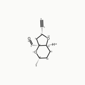 C#C[C@H]1C[C@]2(C=O)O[C@@H](C)CC[C@@H]2O1